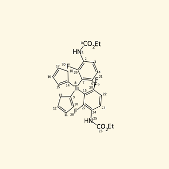 CCOC(=O)Nc1ccc(F)[c]([Ti]([C]2=CC=CC2)([C]2=CC=CC2)[c]2c(F)ccc(NC(=O)OCC)c2F)c1F